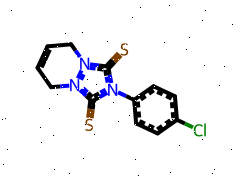 S=c1n(-c2ccc(Cl)cc2)c(=S)n2n1CC=CC2